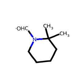 CC1(C)CCCCN1[C]=O